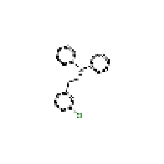 Clc1cccc(CC[SiH](c2ccccc2)c2ccccc2)c1